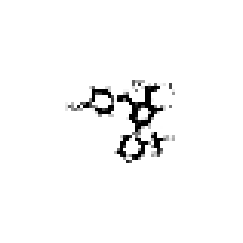 CC(C)c1c(F)cc(N2CCOC[C@@H]2C(F)(F)F)cc1CN1CCN(C)CC1